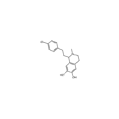 CN1CCc2cc(O)c(O)cc2C1CCc1ccc(Cl)cc1